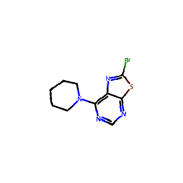 Brc1nc2c(N3CCCCC3)ncnc2s1